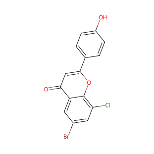 O=c1cc(-c2ccc(O)cc2)oc2c(Cl)cc(Br)cc12